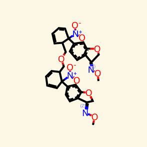 CO/N=C1\COc2cc(C3([N+](=O)[O-])C=CC=CC3COCC3C=CC=CC3(c3ccc4c(c3)OC/C4=N\OC)[N+](=O)[O-])ccc21